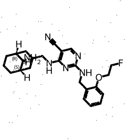 N#Cc1cnc(NCc2ccccc2OCCF)nc1NCC1C[C@H]2CCC[C@@H](C1)[C@@H]2N